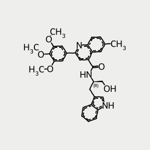 COc1cc(-c2cc(C(=O)N[C@@H](CO)Cc3c[nH]c4ccccc34)c3cc(C)ccc3n2)cc(OC)c1OC